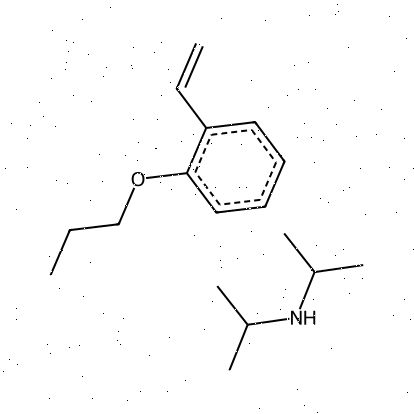 C=Cc1ccccc1OCCC.CC(C)NC(C)C